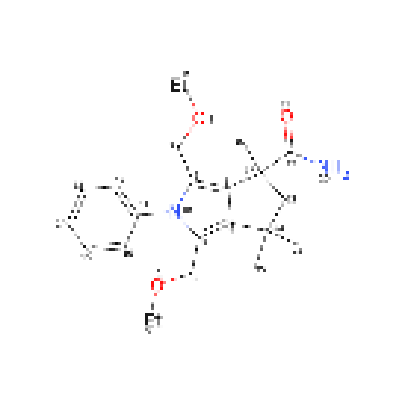 CCOCc1c2c(c(COCC)n1-c1ccccc1)C(C)(C(N)=O)CC2(C)C